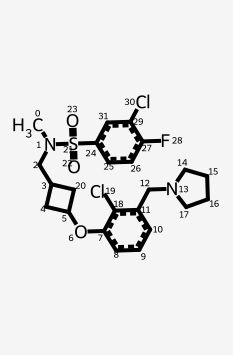 CN(CC1CC(Oc2cccc(CN3CCCC3)c2Cl)C1)S(=O)(=O)c1ccc(F)c(Cl)c1